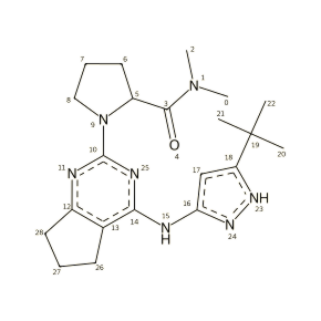 CN(C)C(=O)C1CCCN1c1nc2c(c(Nc3cc(C(C)(C)C)[nH]n3)n1)CCC2